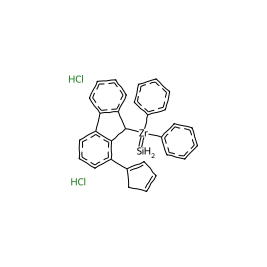 Cl.Cl.[SiH2]=[Zr]([c]1ccccc1)([c]1ccccc1)[CH]1c2ccccc2-c2cccc(C3=CC=CC3)c21